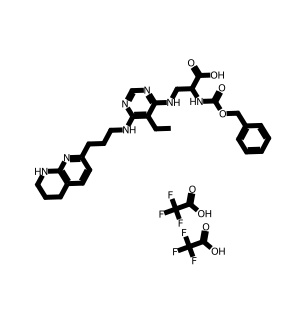 CCc1c(NCCCc2ccc3c(n2)NCCC3)ncnc1NCC(NC(=O)OCc1ccccc1)C(=O)O.O=C(O)C(F)(F)F.O=C(O)C(F)(F)F